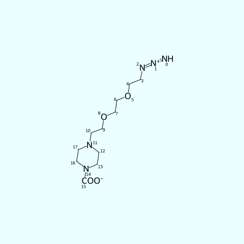 N=[N+]=NCCOCCOCCN1CCN(C(=O)[O-])CC1